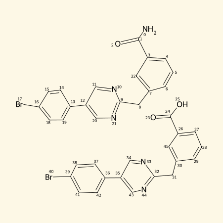 NC(=O)c1cccc(Cc2ncc(-c3ccc(Br)cc3)cn2)c1.O=C(O)c1cccc(Cc2ncc(-c3ccc(Br)cc3)cn2)c1